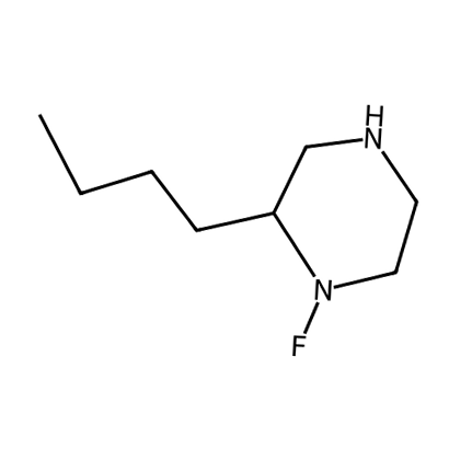 CCCCC1CNCCN1F